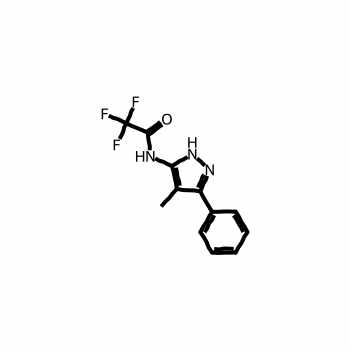 Cc1c(-c2ccccc2)n[nH]c1NC(=O)C(F)(F)F